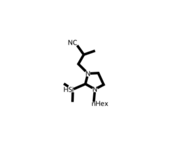 CCCCCCN1CCN(CC(C)C#N)C1[SiH](C)C